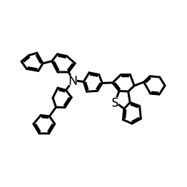 C1=CC(C2C=CC(c3ccc(N(C4=CCC(c5ccccc5)C=C4)c4cccc(-c5ccccc5)c4)cc3)=C3Sc4ccccc4C32)=CCC1